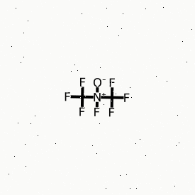 [O-][N+](F)(C(F)(F)F)C(F)(F)F